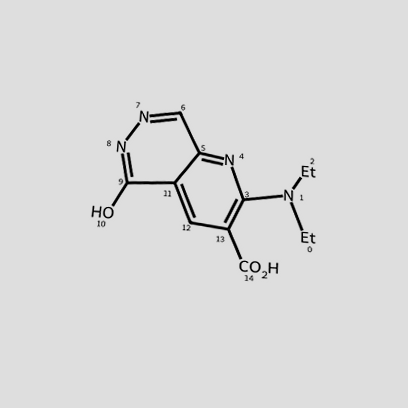 CCN(CC)c1nc2cnnc(O)c2cc1C(=O)O